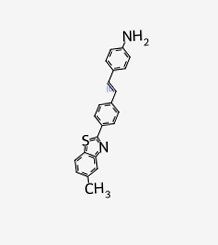 Cc1ccc2sc(-c3ccc(/C=C/c4ccc(N)cc4)cc3)nc2c1